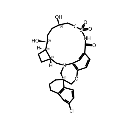 O=C1NS(=O)(=O)CC[C@H](O)CC[C@H](O)[C@@H]2CC[C@H]2CN2C[C@@]3(CCCc4cc(Cl)ccc43)COc3ccc1cc32